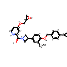 COc1cc(C2CN(C(=O)c3cc(OCC4CO4)ccn3)C2)ccc1OCc1ccc(C2CC2)cc1